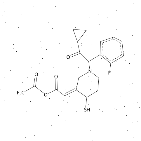 O=C(/C=C1\CN(C(C(=O)C2CC2)c2ccccc2F)CCC1S)OC(=O)C(F)(F)F